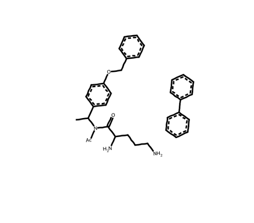 CC(=O)N(C(=O)C(N)CCCN)C(C)c1ccc(OCc2ccccc2)cc1.c1ccc(-c2ccccc2)cc1